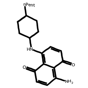 CCCCCC1CCC(NC2=C3C(=O)C=CC(N)=C3C(=O)C=C2)CC1